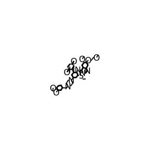 CCSc1cc(N2CCN(Cc3ccc4c(c3)OCO4)CC2)cc(C2=CC(=O)C=CC2=O)c1Nc1ncnc2cc(OCCOC)c(OC)cc12